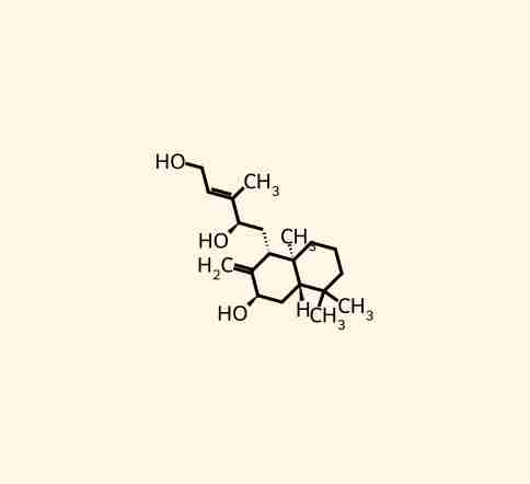 C=C1[C@H](O)C[C@H]2C(C)(C)CCC[C@]2(C)[C@H]1C[C@@H](O)/C(C)=C/CO